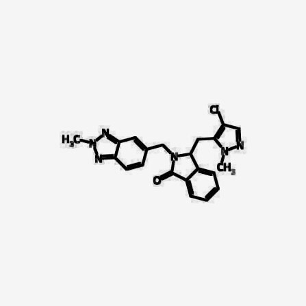 Cn1nc2ccc(CN3C(=O)c4ccccc4C3Cc3c(Cl)cnn3C)cc2n1